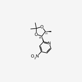 C[C@@H]1OC(C)(C)O[C@@H]1c1cc([N+](=O)[O-])ccn1